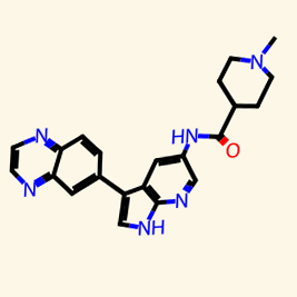 CN1CCC(C(=O)Nc2cnc3[nH]cc(-c4ccc5nccnc5c4)c3c2)CC1